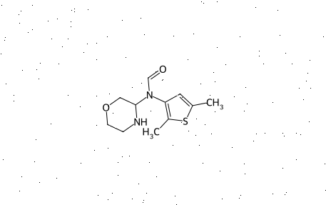 Cc1cc(N(C=O)C2COCCN2)c(C)s1